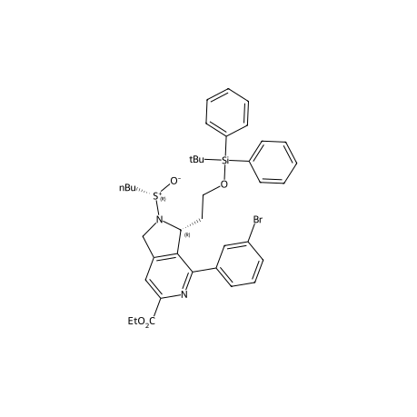 CCCC[S@+]([O-])N1Cc2cc(C(=O)OCC)nc(-c3cccc(Br)c3)c2[C@H]1CCO[Si](c1ccccc1)(c1ccccc1)C(C)(C)C